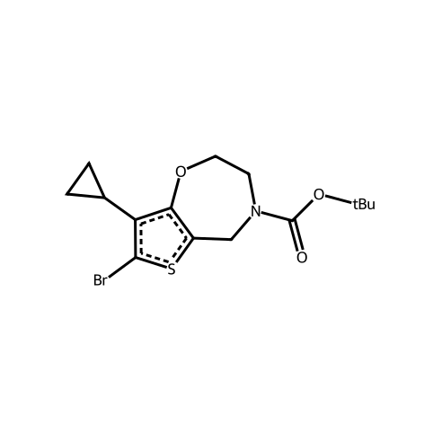 CC(C)(C)OC(=O)N1CCOc2c(sc(Br)c2C2CC2)C1